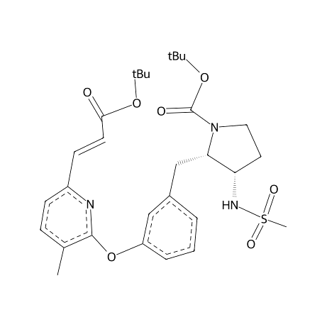 Cc1ccc(C=CC(=O)OC(C)(C)C)nc1Oc1cccc(C[C@H]2[C@@H](NS(C)(=O)=O)CCN2C(=O)OC(C)(C)C)c1